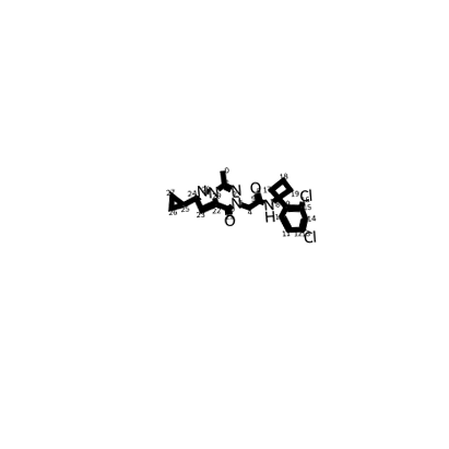 Cc1nn(CC(=O)NC2(c3ccc(Cl)cc3Cl)CCC2)c(=O)c2cc(C3CC3)nn12